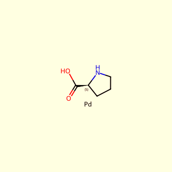 O=C(O)[C@@H]1CCCN1.[Pd]